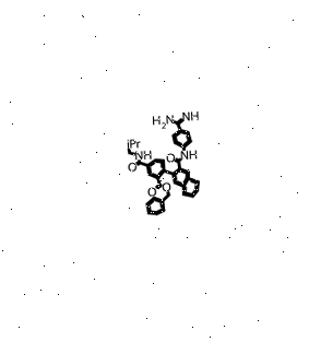 CC(C)CNC(=O)c1ccc(-c2cc3ccccc3cc2C(=O)Nc2ccc(C(=N)N)cc2)c(C(=O)OCc2ccccc2)c1